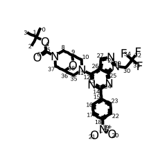 CC(C)(C)OC(=O)N1CC2CN(c3nc(-c4ccc([N+](=O)[O-])cc4)nc4c3cnn4CC(F)(F)F)CC(C1)O2